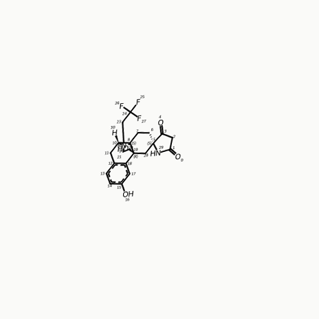 O=C1CC(=O)[C@@]2(CC[C@@]3(O)[C@H]4Cc5ccc(O)cc5[C@@]3(CCN4CC(F)(F)F)C2)N1